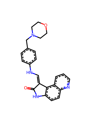 O=C1Nc2ccc3ncccc3c2C1=CNc1ccc(CN2CCOCC2)cc1